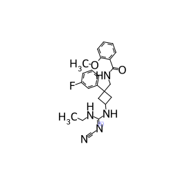 CCN/C(=N\C#N)NC1CC(CNC(=O)c2ccccc2OC)(c2cccc(F)c2)C1